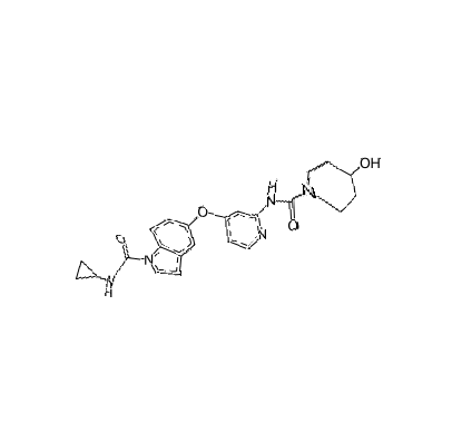 O=C(Nc1cc(Oc2ccc3c(ccn3C(=O)NC3CC3)c2)ccn1)N1CCC(O)CC1